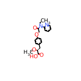 CCN(C(=O)COc1ccc(C[C@H](OC)C(=O)O)cc1)c1ccccn1